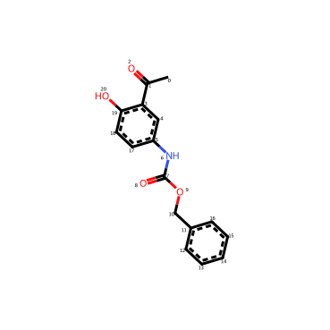 CC(=O)c1cc(NC(=O)OCc2ccccc2)ccc1O